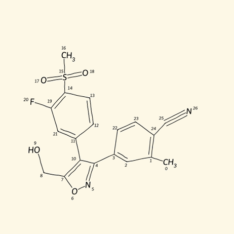 Cc1cc(-c2noc(CO)c2-c2ccc(S(C)(=O)=O)c(F)c2)ccc1C#N